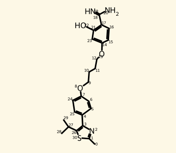 Cc1nc(-c2ccc(OCCCCOc3ccc(C(=N)N)c(O)c3)cc2)c(C(C)C)s1